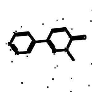 Cn1nc(-c2ccnnc2)ccc1=O